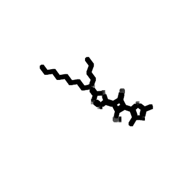 CCCCCCCC/[N+](CCCC)=C1N=N/C(=C2/C(=O)C(c3sc(C)nc3C)=C2O)S\1